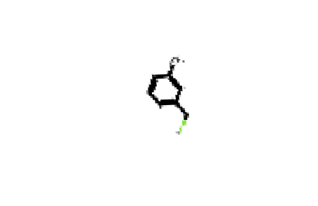 F[CH]c1cccc(C(F)(F)F)c1